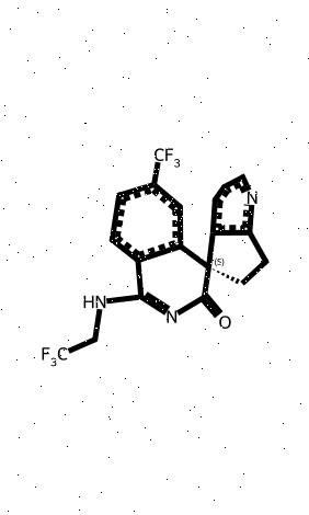 O=C1N=C(NCC(F)(F)F)c2ccc(C(F)(F)F)cc2[C@]12CCc1ncccc12